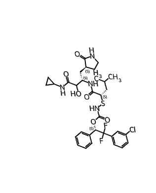 CC(C)C[C@H](SNC(=O)O[C@@H](c1ccccc1)C(F)(F)c1cccc(Cl)c1)C(=O)N[C@@H](C[C@@H]1CCNC1=O)C(O)C(=O)NC1CC1